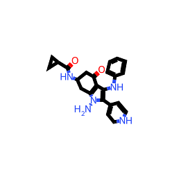 Nn1c2c(c(Nc3ccccc3)c1C1=CCNC=C1)C(=O)CC(NC(=O)C1CC1)C2